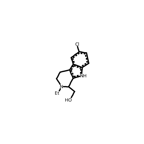 CCN1CCc2c([nH]c3ccc(Cl)cc23)C1CO